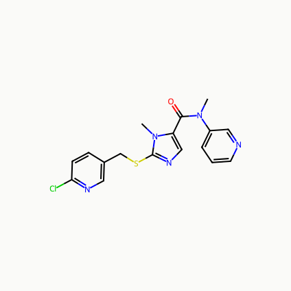 CN(C(=O)c1cnc(SCc2ccc(Cl)nc2)n1C)c1cccnc1